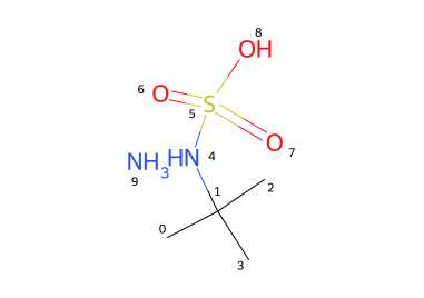 CC(C)(C)NS(=O)(=O)O.N